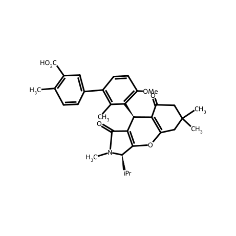 COc1ccc(-c2ccc(C)c(C(=O)O)c2)c(C)c1[C@H]1C2=C(CC(C)(C)CC2=O)OC2=C1C(=O)N(C)[C@@H]2C(C)C